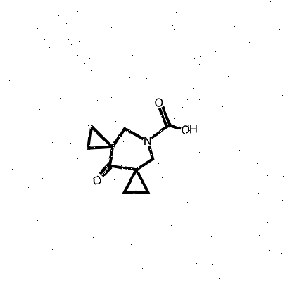 O=C(O)N1CC2(CC2)C(=O)C2(CC2)C1